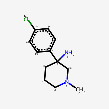 CN1CCCC(N)(c2ccc(Cl)cc2)C1